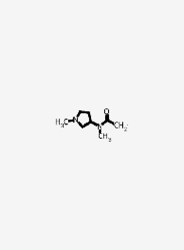 [CH2]C(=O)N(C)C1CCN(C)C1